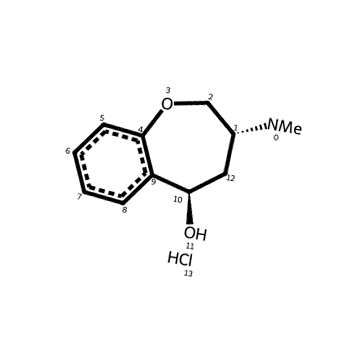 CN[C@H]1COc2ccccc2[C@H](O)C1.Cl